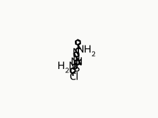 C=C1C(Sc2cccc(Cl)c2)=C(N)N=C(N2CCN(CC(N)c3ccccc3)CC2)N1C